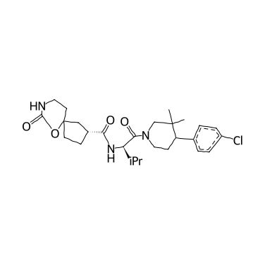 CC(C)[C@@H](NC(=O)[C@@H]1CCC2(CCNC(=O)O2)C1)C(=O)N1CCC(c2ccc(Cl)cc2)C(C)(C)C1